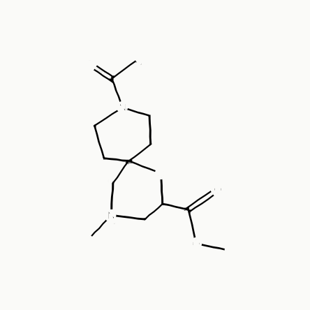 COC(=O)C1CN(C)CC2(CCN(C(C)=O)CC2)O1